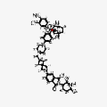 N#Cc1ccc(OC2C[C@H]3CC[C@@H](C2)N3C(=O)c2ccc(N3CCN(CC4CC5(C4)CN(c4ccc6c(c4)C(=O)N(C4CCC(=O)NC4=O)C6=O)C5)CC3)cc2)cc1Cl